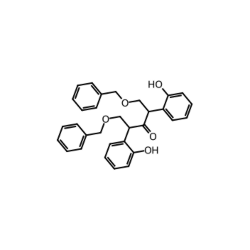 O=C(C(COCc1ccccc1)c1ccccc1O)C(COCc1ccccc1)c1ccccc1O